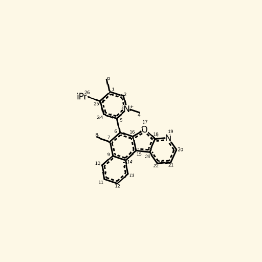 Cc1c[n+](C)c(-c2c(C)c3ccccc3c3c2oc2ncccc23)cc1C(C)C